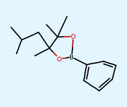 CC(C)CC1(C)OB(c2ccccc2)OC1(C)C